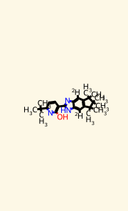 [2H]c1c2c(c([2H])c3[nH]c(-c4ccc(C(C)(C)C)nc4O)nc13)C(C)(C)C(C)(C)C2(C)C